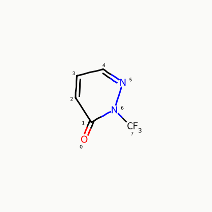 O=c1cccnn1C(F)(F)F